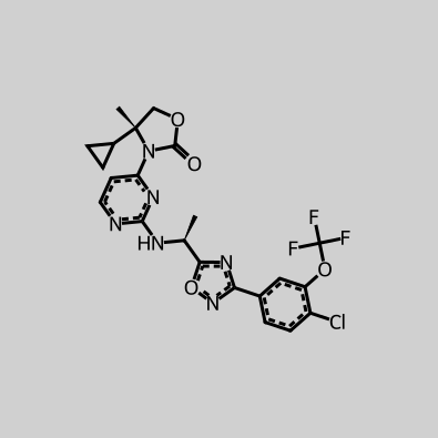 C[C@H](Nc1nccc(N2C(=O)OC[C@@]2(C)C2CC2)n1)c1nc(-c2ccc(Cl)c(OC(F)(F)F)c2)no1